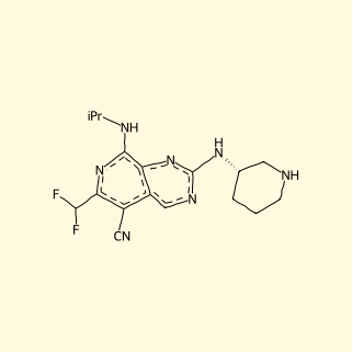 CC(C)Nc1nc(C(F)F)c(C#N)c2cnc(N[C@H]3CCCNC3)nc12